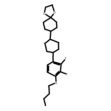 CCCCOc1ccc(C2CCC(C3CCC4(CC3)OCCO4)CC2)c(F)c1F